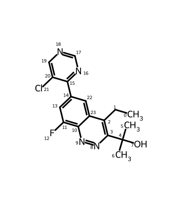 CCc1c(C(C)(C)O)nnc2c(F)cc(-c3ncncc3Cl)cc12